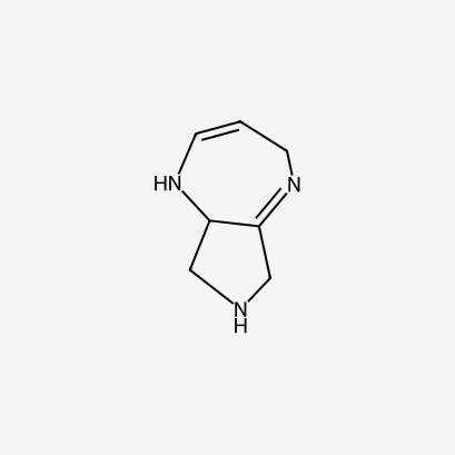 C1=CNC2CNCC2=NC1